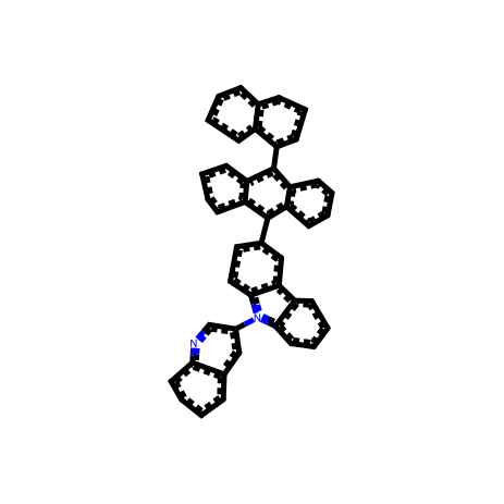 c1ccc2ncc(-n3c4ccccc4c4cc(-c5c6ccccc6c(-c6cccc7ccccc67)c6ccccc56)ccc43)cc2c1